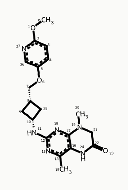 COc1ccc(OC[C@H]2C[C@@H](Nc3nc(C)c4c(n3)N(C)CC(=O)N4)C2)cn1